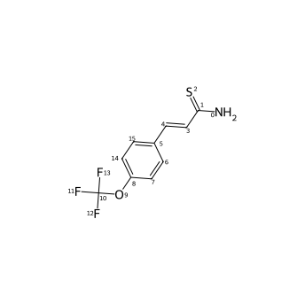 NC(=S)C=Cc1ccc(OC(F)(F)F)cc1